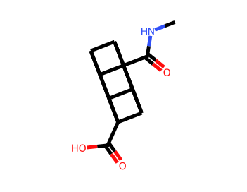 CNC(=O)C12C3C4C1C1C2C3C41C(=O)O